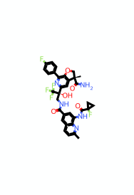 Cc1ccc2cc(C(=O)NC[C@](O)(c3cc4c(c(-c5ccc(F)cc5)n3)OC[C@]4(C)C(N)=O)C(F)(F)F)cc(NC(=O)C3(F)CC3)c2n1